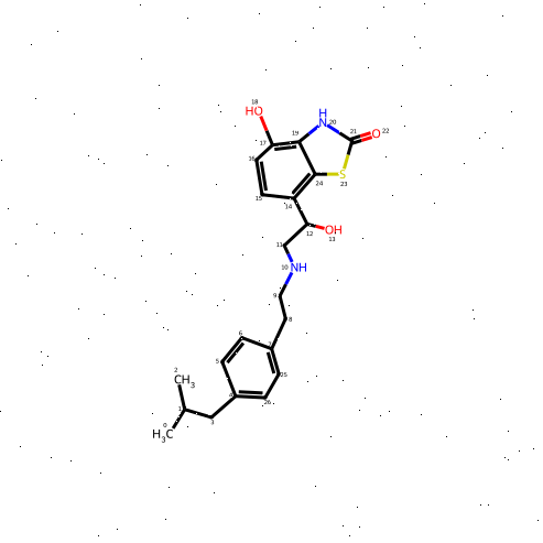 CC(C)Cc1ccc(CCNCC(O)c2ccc(O)c3[nH]c(=O)sc23)cc1